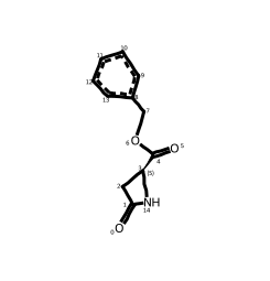 O=C1C[C@@H](C(=O)OCc2ccccc2)N1